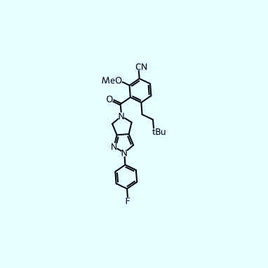 COc1c(C#N)ccc(CCC(C)(C)C)c1C(=O)N1Cc2cn(-c3ccc(F)cc3)nc2C1